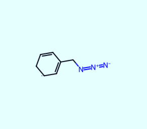 [N-]=[N+]=NCC1=C[CH]CC=C1